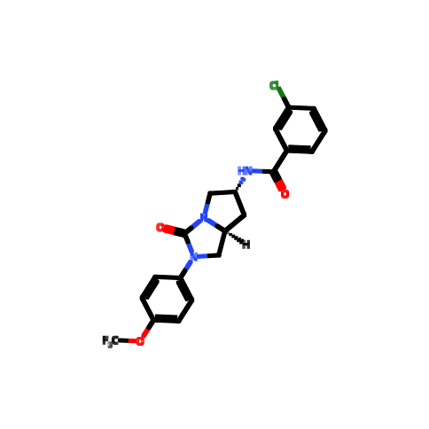 O=C(N[C@@H]1C[C@H]2CN(c3ccc(OC(F)(F)F)cc3)C(=O)N2C1)c1cccc(Cl)c1